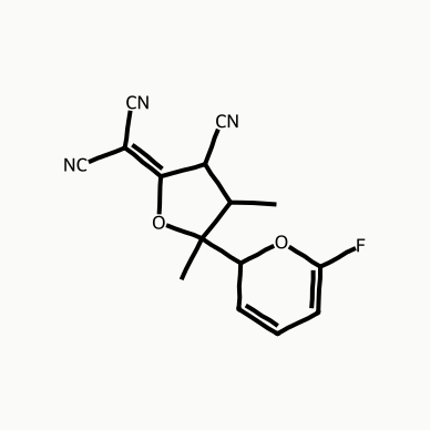 CC1C(C#N)C(=C(C#N)C#N)OC1(C)C1C=CC=C(F)O1